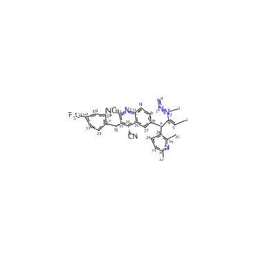 C=NN(C)/C(=C\C)C(c1ccc2nc(C#N)c(Cc3ccc(C(F)(F)F)cc3)c(C#N)c2c1)c1ccc(C)nc1C